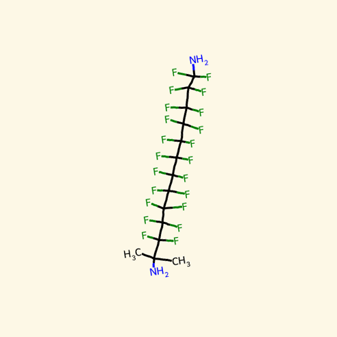 CC(C)(N)C(F)(F)C(F)(F)C(F)(F)C(F)(F)C(F)(F)C(F)(F)C(F)(F)C(F)(F)C(F)(F)C(F)(F)C(N)(F)F